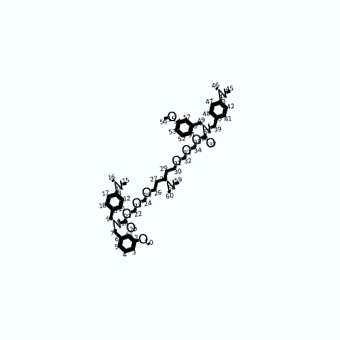 COc1cccc(CN(Cc2ccc(N(C)C)cc2)C(=O)OCOCOCCC(CCOCOCOC(=O)N(Cc2ccc(N(C)C)cc2)Cc2cccc(OC)c2)N(C)C)c1